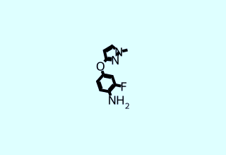 Cn1ccc(Oc2ccc(N)c(F)c2)n1